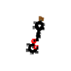 Brc1ccc(C#CCOC2CCCCO2)cc1